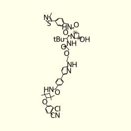 Cc1ncsc1-c1ccc(CNC(=O)[C@@H]2C[C@@H](O)CN2C(=O)C(NC(=O)COCCNc2ccc(-c3ccc(C(=O)N[C@H]4C(C)(C)[C@H](Oc5ccc(C#N)c(Cl)c5)C4(C)C)cc3)cn2)C(C)(C)C)cc1